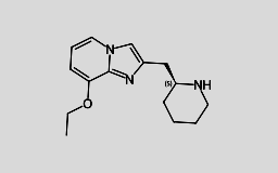 CCOc1cccn2cc(C[C@@H]3CCCCN3)nc12